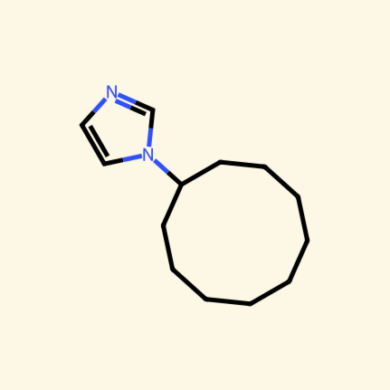 c1cn(C2CCCCCCCCC2)cn1